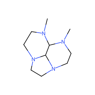 CN1CCN2CCN3CCN(C)C1C23